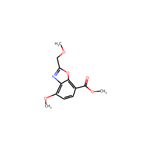 COCc1nc2c(OC)ccc(C(=O)OC)c2o1